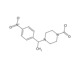 CC(c1ccc([N+](=O)[O-])cc1)N1CCN(C(=O)Cl)CC1